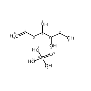 C=CCC(O)C(O)CO.O=P(O)(O)O